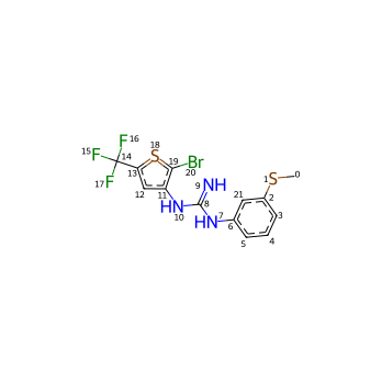 CSc1cccc(NC(=N)Nc2cc(C(F)(F)F)sc2Br)c1